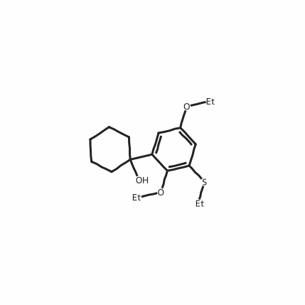 CCOc1cc(SCC)c(OCC)c(C2(O)CCCCC2)c1